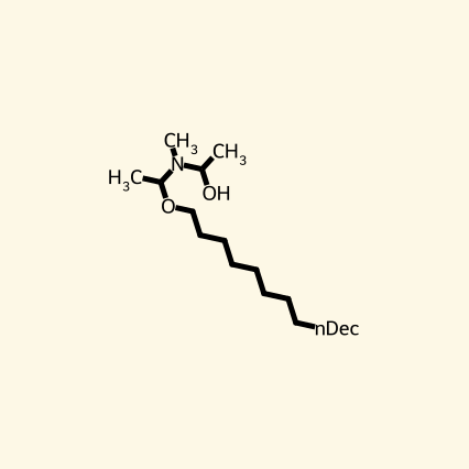 CCCCCCCCCCCCCCCCCCOC(C)N(C)C(C)O